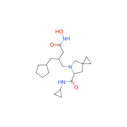 O=C(CC(CC1CCCC1)CN1CC2(CC2)CC1C(=O)NC1CC1)NO